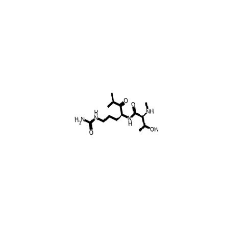 CN[C@H](C(=O)N[C@@H](CCCNC(N)=O)C(=O)C(C)C)C(C)O